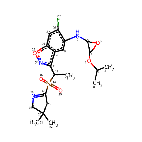 CC(C)OC1OC1Nc1cc2c(C(C)S(=O)(=O)C3=NCC(C)(C)C3)noc2cc1F